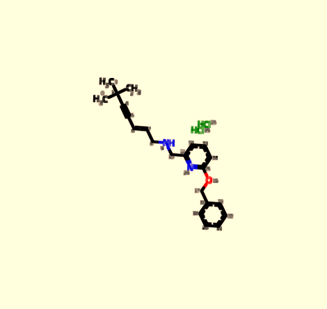 CC(C)(C)C#CC=CCNCc1cccc(OCc2ccccc2)n1.Cl.Cl